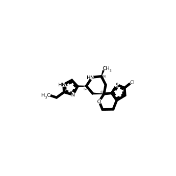 CCc1nc([C@@H]2C[C@]3(C[C@H](C)N2)OCCc2cc(Cl)sc23)c[nH]1